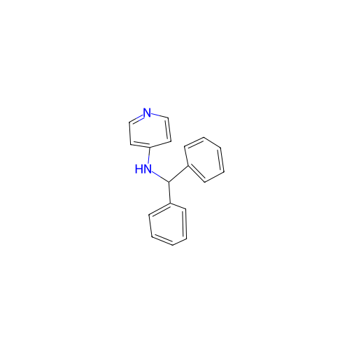 c1ccc(C(Nc2ccncc2)c2ccccc2)cc1